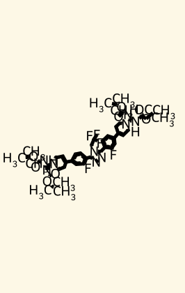 CC(C)(C)OC(=O)/N=C(/NC(=O)OC(C)(C)C)N1CC=C(c2ccc(-c3nnc(-c4ccc(C5=CCN(/C(=N\C(=O)OC(C)(C)C)NC(=O)OC(C)(C)C)CC5)cc4F)n3CC(F)(F)F)c(F)c2)CC1